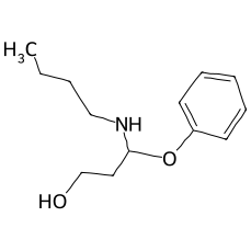 CCCCNC(CCO)Oc1ccccc1